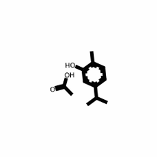 CC(=O)O.Cc1ccc(C(C)C)cc1O